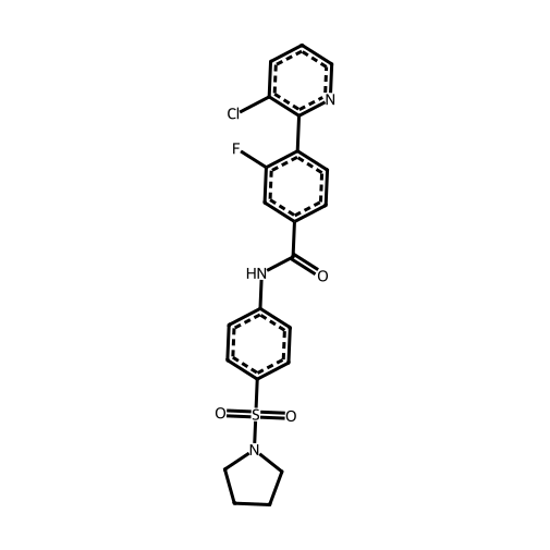 O=C(Nc1ccc(S(=O)(=O)N2CCCC2)cc1)c1ccc(-c2ncccc2Cl)c(F)c1